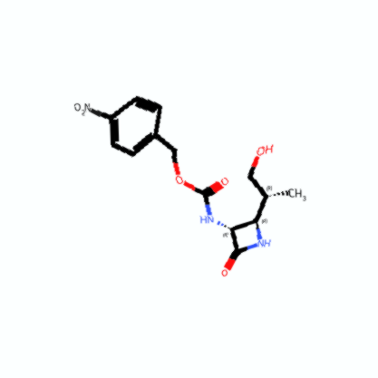 C[C@@H](CO)[C@H]1NC(=O)[C@@H]1NC(=O)OCc1ccc([N+](=O)[O-])cc1